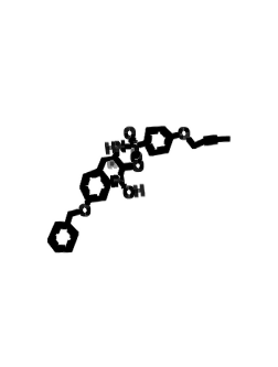 CC#CCOc1ccc(S(=O)(=O)N[C@H](Cc2ccc(OCc3ccccc3)cc2)C(=O)NO)cc1